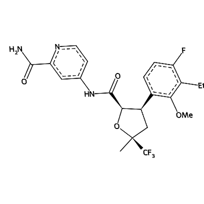 CCc1c(F)ccc([C@H]2C[C@@](C)(C(F)(F)F)O[C@H]2C(=O)Nc2ccnc(C(N)=O)c2)c1OC